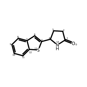 O=C1CCC(c2cc3ccccc3s2)N1